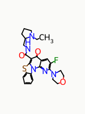 CCN1CCCC1CNC(=O)c1c(=O)c2cc(F)c(N3CCOCC3)nc2n2c1sc1ccccc12